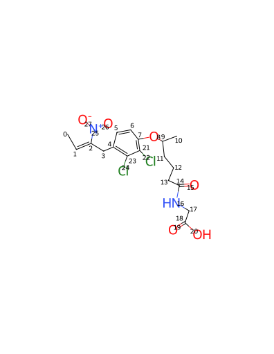 C/C=C(/Cc1ccc(OC(C)CCCC(=O)NCC(=O)O)c(Cl)c1Cl)[N+](=O)[O-]